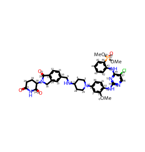 COc1cc(N2CCC(NCc3ccc4c(c3)CN(C3CCC(=O)NC3=O)C4=O)CC2)ccc1Nc1ncc(Cl)c(Nc2ccccc2P(=O)(OC)OC)n1